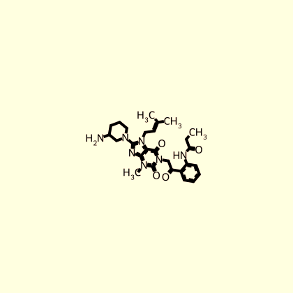 CCC(=O)Nc1ccccc1C(=O)Cn1c(=O)c2c(nc(N3CCCC(N)C3)n2CC=C(C)C)n(C)c1=O